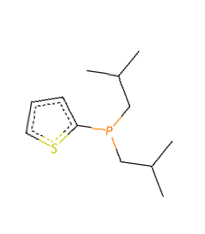 CC(C)CP(CC(C)C)c1cccs1